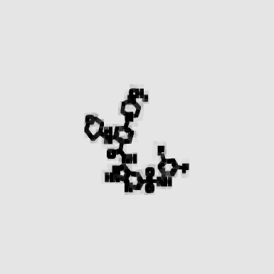 CN1CCN(c2ccc(C(=O)Nc3n[nH]c4ncc(S(=O)(=O)Nc5cc(F)cc(F)c5)cc34)c(NC3CCOCC3)c2)CC1